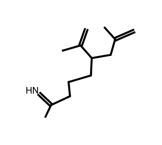 C=C(C)CC(CCCC(C)=N)C(=C)C